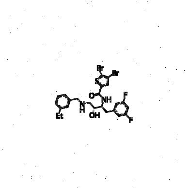 CCc1cccc(CNC[C@@H](O)[C@H](Cc2cc(F)cc(F)c2)NC(=O)c2cc(Br)c(Br)s2)c1